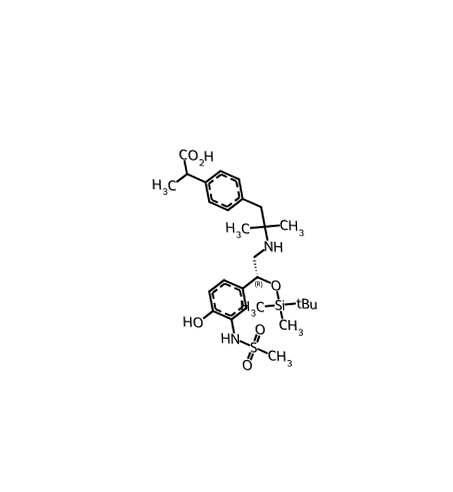 CC(C(=O)O)c1ccc(CC(C)(C)NC[C@H](O[Si](C)(C)C(C)(C)C)c2ccc(O)c(NS(C)(=O)=O)c2)cc1